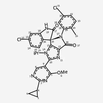 COc1nc(C2CC2)ncc1-c1nc2c(n1C(C)C)[C@]1(C(=O)Nc3cc(Cl)ccc31)N(c1cc(Cl)ccc1C)C2=O